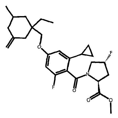 C=C1CC(C)CC(CC)(COc2cc(F)c(C(=O)N3C[C@H](F)C[C@H]3C(=O)OC)c(C3CC3)c2)C1